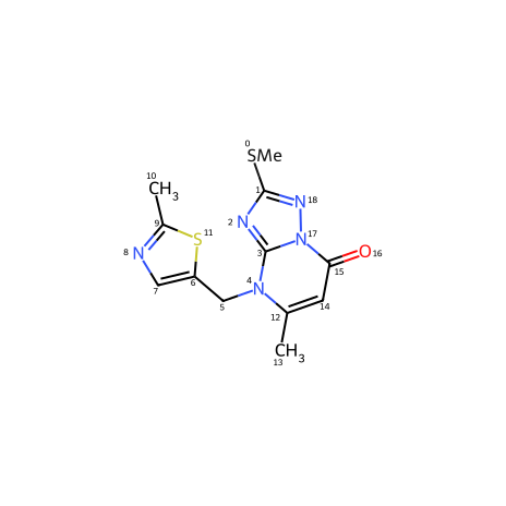 CSc1nc2n(Cc3cnc(C)s3)c(C)cc(=O)n2n1